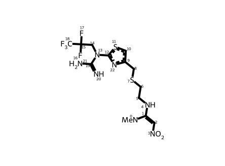 CN/C(=C\[N+](=O)[O-])NCCSCc1csc(N(CC(F)(F)C(F)(F)F)C(=N)N)n1